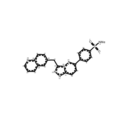 CNS(=O)(=O)c1ccc(-c2ccc3nnc(Cc4ccc5ncccc5c4)n3n2)cc1